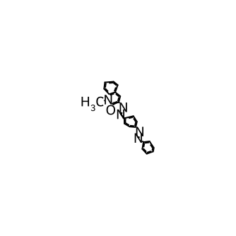 Cn1c(=O)c(/N=N/c2ccc(/N=N/c3ccccc3)cc2)cc2ccccc21